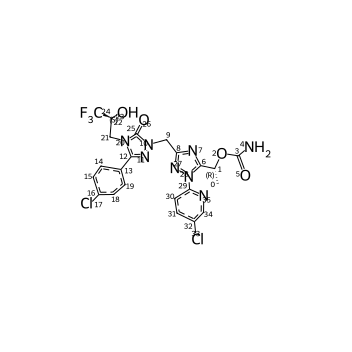 C[C@@H](OC(N)=O)c1nc(Cn2nc(-c3ccc(Cl)cc3)n(C[C@H](O)C(F)(F)F)c2=O)nn1-c1ccc(Cl)cn1